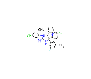 Cc1cc(Cl)cc2nc(NC(Cc3ccccc3)(c3cc(F)cc(C(F)(F)F)c3)c3ccc(Cl)cn3)[nH]c12